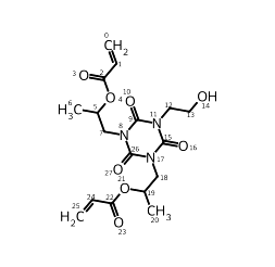 C=CC(=O)OC(C)Cn1c(=O)n(CCO)c(=O)n(CC(C)OC(=O)C=C)c1=O